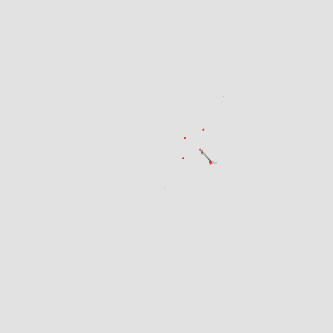 CC1(C)c2ccccc2-c2ccc(N(c3ccc4c(c3)C3(c5ccccc5O4)c4ccccc4-c4ccccc4-c4ccccc43)c3ccccc3-c3ccccc3)cc21